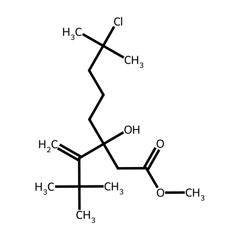 C=C(C(C)(C)C)C(O)(CCCC(C)(C)Cl)CC(=O)OC